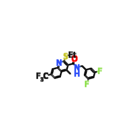 CCSc1nc2cc(C(F)(F)F)ccc2c(C)c1C(=O)NCc1cc(F)cc(F)c1